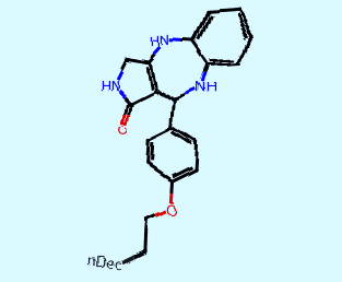 CCCCCCCCCCCCOc1ccc(C2Nc3ccccc3NC3=C2C(=O)NC3)cc1